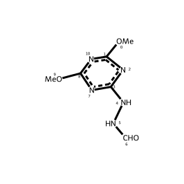 COc1nc(NNC=O)nc(OC)n1